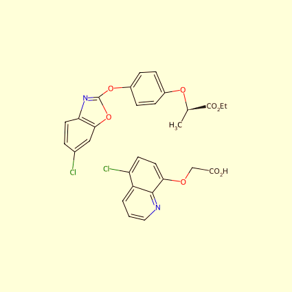 CCOC(=O)[C@@H](C)Oc1ccc(Oc2nc3ccc(Cl)cc3o2)cc1.O=C(O)COc1ccc(Cl)c2cccnc12